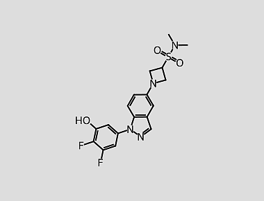 CN(C)S(=O)(=O)C1CN(c2ccc3c(cnn3-c3cc(O)c(F)c(F)c3)c2)C1